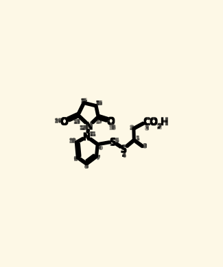 CC(CC(=O)O)SSC1C=CC=CN1N1C(=O)CCC1=O